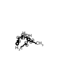 CCCCC(=O)OCc1cc(C(O)CNC(C)(C)CNC(=O)c2cc3ccccc3o2)ccc1OC(=O)CCCC